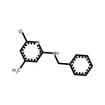 Cc1cc(Cl)nc(NCc2ccccc2)c1